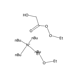 CCCC[N+](CCCC)(CCCC)CCCC.CCOCC.CCOOC(=O)CO